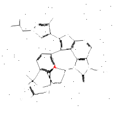 COC(=O)N[C@@H]1CC[C@@H](n2c(=O)n(C)c3cnc4[nH]c(-c5cn(CC(F)F)nc5F)c(-c5ccc6c(c5)COC6(C)C)c4c32)C1